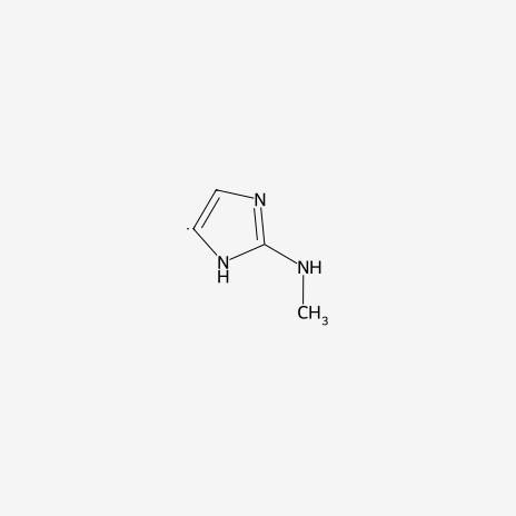 CNc1nc[c][nH]1